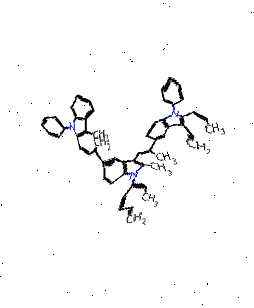 C=C/C=C\C(=C/C)n1c(C)c(/C=C(\C)c2ccc3c(c2)c(C=C)c(/C=C\C)n3-c2ccccc2)c2cc(C(=C)/C=C\c3c(C)c4ccccc4n3-c3ccccc3)ccc21